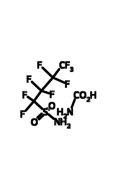 NC(=O)O.NS(=O)(=O)C(F)(F)C(F)(F)C(F)(F)C(F)(F)F